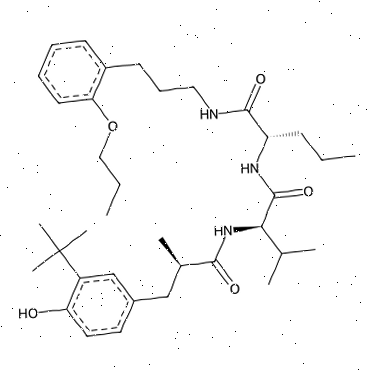 CCCOc1ccccc1CCCNC(=O)[C@H](CCC)NC(=O)[C@H](NC(=O)[C@H](C)Cc1ccc(O)c(C(C)(C)C)c1)C(C)C